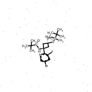 CC(C)(C)[S@+]([O-])N[C@]1(c2ncc(Br)cc2F)C[C@](C)(O[Si](C)(C)C(C)(C)C)C1